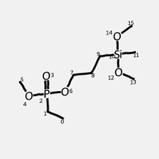 CCP(=O)(OC)OCCC[Si](C)(OC)OC